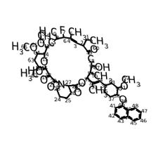 CCC1/C=C(\C)C(F)C(C)CC(OC)C2OC(O)(C(=O)C(=O)N3CCCCC3C(=O)OC(C(C)=CC3CCC(Oc4cccc5ccccc45)C(OC)C3)C(C)C(O)CC1=O)C(C)CC2OC